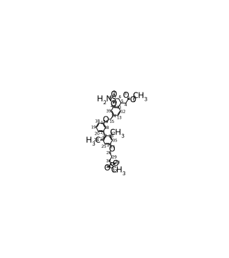 COC(=O)CC(CS(N)(=O)=O)c1ccc(COc2cccc(-c3c(C)cc(OCCCS(C)(=O)=O)cc3C)c2)cc1